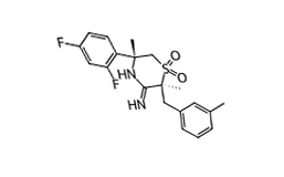 Cc1cccc(C[C@@]2(C)C(=N)N[C@](C)(c3ccc(F)cc3F)CS2(=O)=O)c1